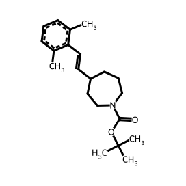 Cc1cccc(C)c1/C=C/C1CCCN(C(=O)OC(C)(C)C)CC1